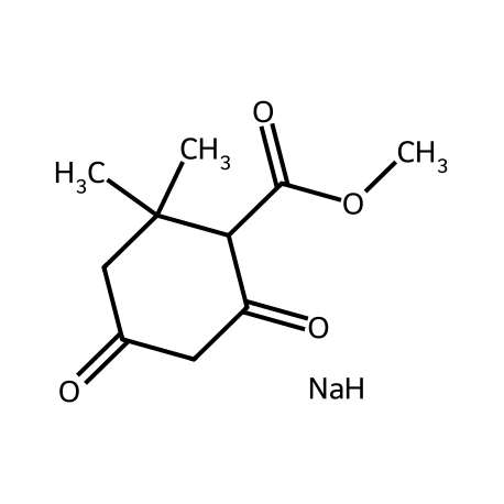 COC(=O)C1C(=O)CC(=O)CC1(C)C.[NaH]